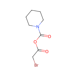 O=C(CBr)OC(=O)N1CCCCC1